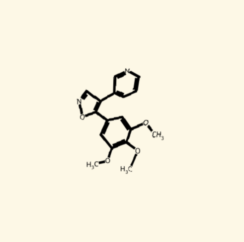 COc1cc(-c2oncc2-c2cccnc2)cc(OC)c1OC